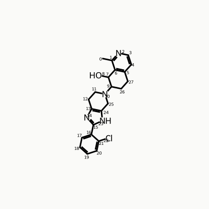 Cc1nccc2c1C(O)C(N1CCc3nc(-c4ccccc4Cl)[nH]c3C1)CC2